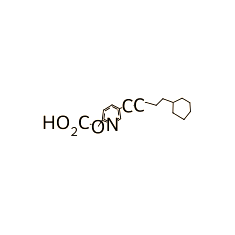 O=C(O)Oc1ccc(CCCCCC2CCCCC2)cn1